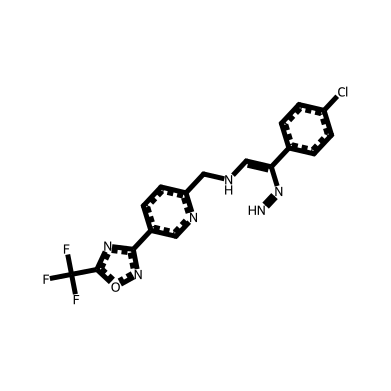 N=N/C(=C\NCc1ccc(-c2noc(C(F)(F)F)n2)cn1)c1ccc(Cl)cc1